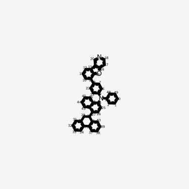 c1ccc(N(c2ccc(-c3cccc4c3oc3ccncc34)cc2)c2ccc(C3Cc4ccccc4-c4ccccc43)c3ccccc23)cc1